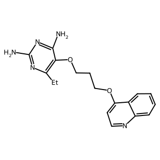 CCc1nc(N)nc(N)c1OCCCOc1ccnc2ccccc12